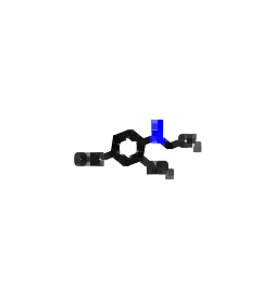 O=Cc1ccc(NCC(F)(F)F)c([N+](=O)[O-])c1